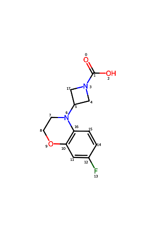 O=C(O)N1CC(N2CCOc3cc(F)ccc32)C1